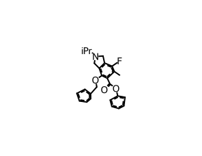 Cc1c(F)c2c(c(OCc3ccccc3)c1C(=O)Oc1ccccc1)CN(C(C)C)C2